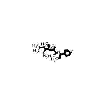 C=CC(=C\C(C=C)=C(/C)CC(C)C)/C(C)=N/C(=C\C)c1ccc(F)cc1